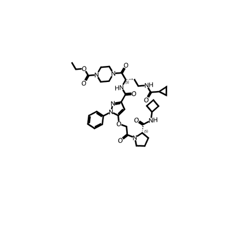 CCOC(=O)N1CCN(C(=O)[C@H](CCNC(=O)C2CC2)NC(=O)c2cc(OCC(=O)N3CCC[C@H]3C(=O)NC3CCC3)n(-c3ccccc3)n2)CC1